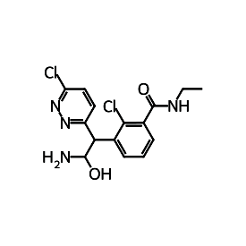 CCNC(=O)c1cccc(C(c2ccc(Cl)nn2)C(N)O)c1Cl